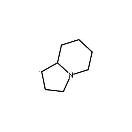 [CH]1CCN2CCCCC12